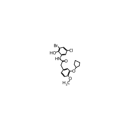 COc1ccc(CC(=O)Nc2cc(Cl)cc(Br)c2O)cc1OC1CCCC1